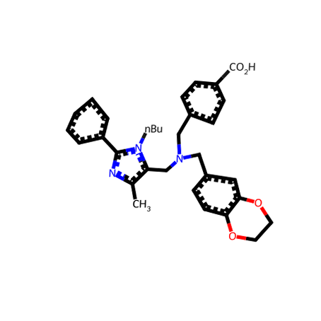 CCCCn1c(-c2ccccc2)nc(C)c1CN(Cc1ccc(C(=O)O)cc1)Cc1ccc2c(c1)OCCO2